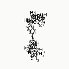 COC(=O)N[C@H](C(=O)N1[C@@H]2C[C@H]2C[C@H]1c1nc(C#Cc2ccc3cc(-c4c[nH]c([C@@H]5C[C@H]6C[C@H]6N5C(=O)[C@H]([C@@H]5CCCOC5)N(C)C(=O)O)n4)ccc3c2)c[nH]1)C(C)C